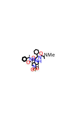 CN[C@@H](C)C(=O)N[C@H](C(=O)N1CC[C@@H]2[C@H]1[C@@H](C(=O)N[C@H](C)c1ccccc1)CN2S(C)(=O)=O)C1CCCCC1